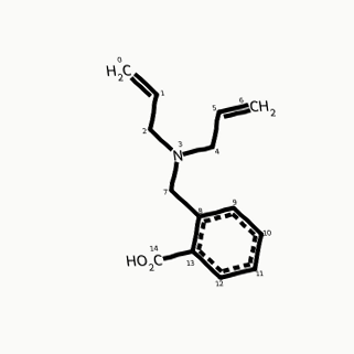 C=CCN(CC=C)Cc1ccccc1C(=O)O